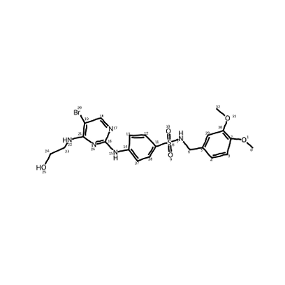 COc1ccc(CNS(=O)(=O)c2ccc(Nc3ncc(Br)c(NCCO)n3)cc2)cc1OC